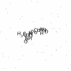 COc1cc(Cn2ncc3c(-c4cccc(-c5ccc(CNCC6CCC(=O)N6)cc5)c4Cl)cccc32)c(Cl)cc1CNCC=O